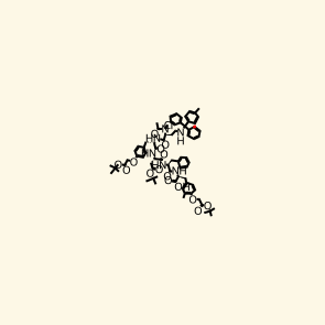 CC(=O)N(Cl)[C@@H](CCNC(c1ccccc1)(c1ccccc1)c1ccc(C)cc1)C(=O)N[C@@H](Cc1ccc(OCC(=O)OC(C)(C)C)cc1)C(=O)N[C@@H](CC(=O)OC(C)(C)C)C(=O)N[C@@H](Cc1ccccc1)C(=O)N[C@@H](Cc1ccc(OCC(=O)OC(C)(C)C)c(C)c1)C(=O)O